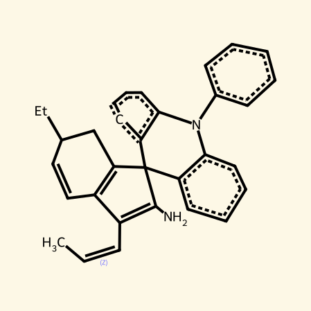 C/C=C\C1=C(N)C2(C3=C1C=CC(CC)C3)c1ccccc1N(c1ccccc1)c1ccccc12